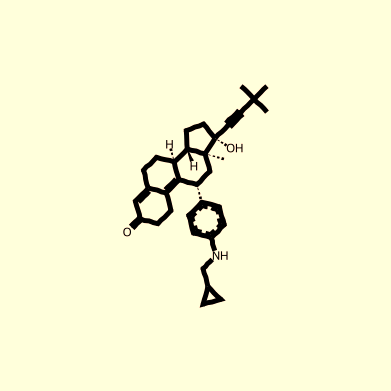 CC(C)(C)C#C[C@]1(O)CC[C@H]2[C@@H]3CCC4=CC(=O)CCC4=C3[C@@H](c3ccc(NCC4CC4)cc3)C[C@@]21C